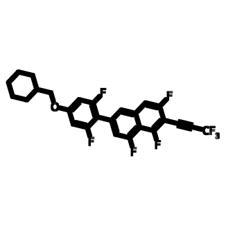 Fc1cc2cc(-c3c(F)cc(OCC4CCCCC4)cc3F)cc(F)c2c(F)c1C#CC(F)(F)F